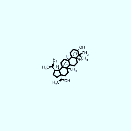 C=C(C)[C@@H]1CC[C@]2(C(=C)O)CC[C@]3(C)C(CC[C@@H]4[C@@]5(C)CC[C@H](O)C(C)(C)[C@@H]5CC[C@]43C)[C@@H]12